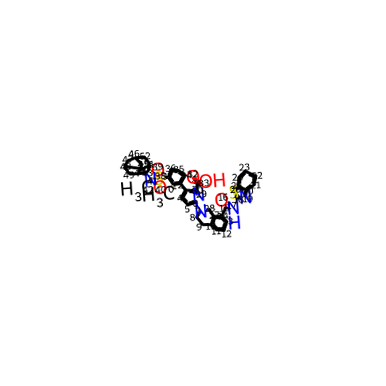 Cc1c(-c2ccc(N3CCc4cccc(C(=O)Nc5nc6ccccc6s5)c4C3)nc2C(=O)O)cccc1S(=O)(=O)N(C)C1C2CC3CC(C2)CC1C3